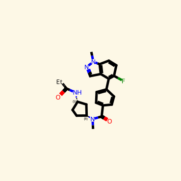 CCC(=O)N[C@H]1CC[C@@H](N(C)C(=O)c2ccc(-c3c(F)ccc4c3cnn4C)cc2)C1